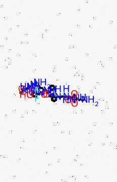 CCC(=O)NCCNC(=O)/N=C(/N)NCCC[C@@H](NC(=O)[C@H](c1ccccc1)N1Cc2cccc(NCCCNC(=O)C[C@H]3NC(=O)[C@@H](CCCN)NC3=O)c2C1)C(=O)NCc1c(F)cc(O)cc1F